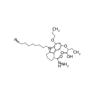 CCCOc1cc(OC(CC)C(=O)O)cc2c3c(n(CCCCCCCCC#N)c12)CCCC3C(=O)NN